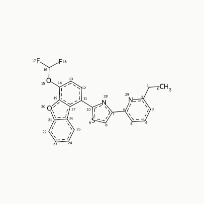 CCc1cccc(-c2csc(-c3ccc(OC(F)F)c4oc5ccccc5c34)n2)n1